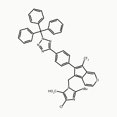 CCCCc1nc(Cl)c(C(=O)O)n1Cc1c2ccocc-2c(C(F)(F)F)c1-c1ccc(-c2nnn(C(c3ccccc3)(c3ccccc3)c3ccccc3)n2)cc1